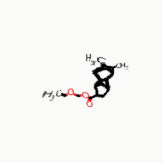 CCOCOC(=O)C1CC2CC1C1C3CC(C(C)C3C)C21